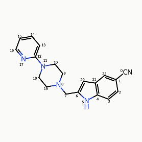 N#Cc1ccc2[nH]c(CN3CCN(c4ccccn4)CC3)cc2c1